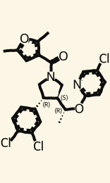 Cc1cc(C(=O)N2C[C@@H]([C@@H](C)Oc3ccc(Cl)cn3)[C@H](c3ccc(Cl)c(Cl)c3)C2)c(C)o1